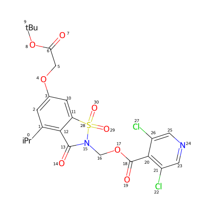 CC(C)c1cc(OCC(=O)OC(C)(C)C)cc2c1C(=O)N(COC(=O)c1c(Cl)cncc1Cl)S2(=O)=O